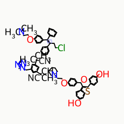 CC(C)(C#N)c1cc(Cn2cncn2)cc(C(C)(C)C#N)c1.CN(C)CCOc1ccc(/C(=C(/CCCl)c2ccccc2)c2ccccc2)cc1.O=C(c1ccc(OCCN2CCCCC2)cc1)c1c(-c2ccc(O)cc2)sc2cc(O)ccc12